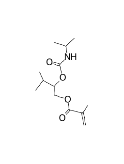 C=C(C)C(=O)OCC(OC(=O)NC(C)C)C(C)C